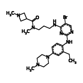 CCc1cc(N2CCN(C)CC2)ccc1Nc1ncc(Br)c(NCCCN(C)C(=O)C2CN(C)C2)n1